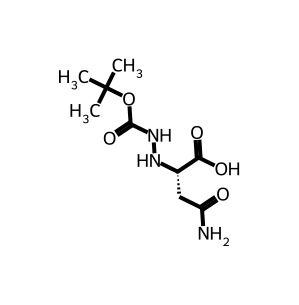 CC(C)(C)OC(=O)NN[C@@H](CC(N)=O)C(=O)O